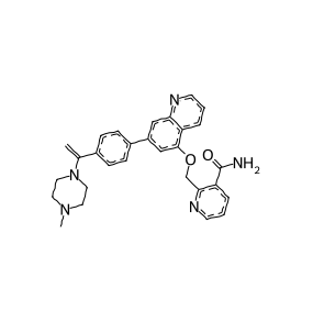 C=C(c1ccc(-c2cc(OCc3ncccc3C(N)=O)c3cccnc3c2)cc1)N1CCN(C)CC1